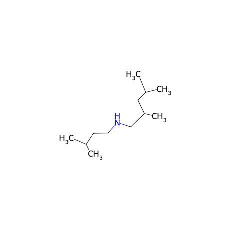 CC(C)CCNCC(C)CC(C)C